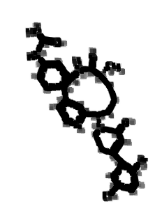 C[C@@H]1CCC[C@H](N2CCC(c3cc(Cl)ccc3Br)=CC2=O)c2cc(ccn2)-c2ccc(NC(=O)O)cc2NC1=O